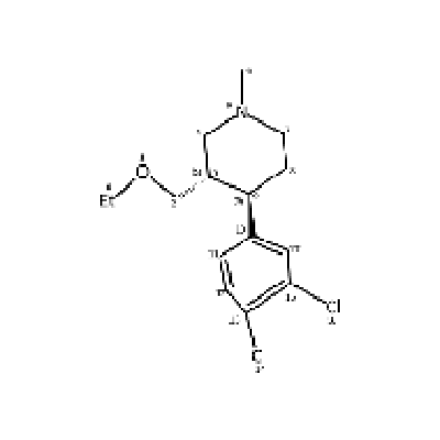 CCOC[C@@H]1CN(C)CC[C@H]1c1ccc(Cl)c(Cl)c1